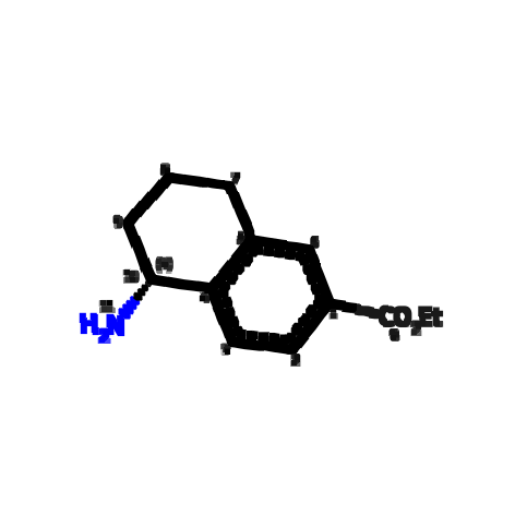 CCOC(=O)c1ccc2c(c1)CCC[C@H]2N